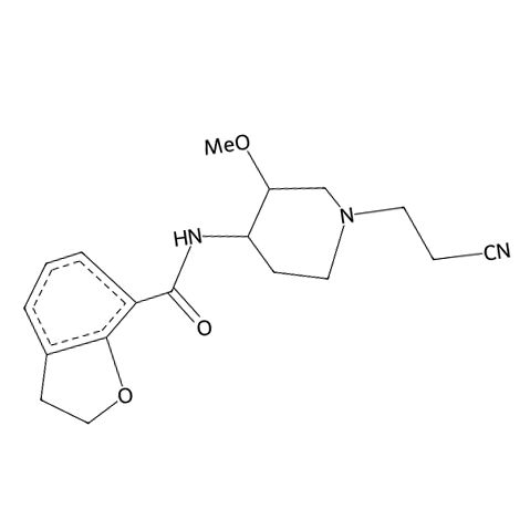 COC1CN(CCC#N)CCC1NC(=O)c1cccc2c1OCC2